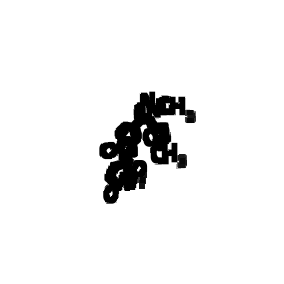 Cc1ccc(-c2c(-c3ccc4c(c3)CN(C3CCC(=O)NC3=O)C4=O)cnn2C)o1